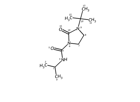 CC(C)NC(=O)N1CCN(C(C)(C)C)C1=O